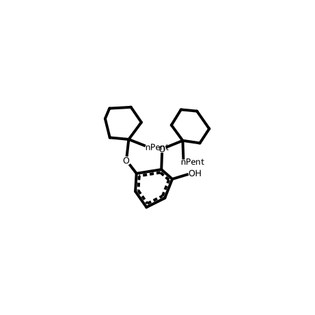 CCCCCC1(Oc2cccc(O)c2OC2(CCCCC)CCCCC2)CCCCC1